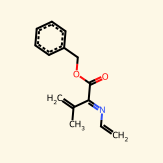 C=C/N=C(\C(=C)C)C(=O)OCc1ccccc1